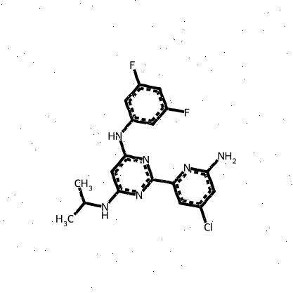 CC(C)Nc1cc(Nc2cc(F)cc(F)c2)nc(-c2cc(Cl)cc(N)n2)n1